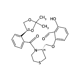 CC1(C)OC[C@H](c2ccccc2C(=O)N2CCSC[C@H]2COc2cccc(O)c2C=O)O1